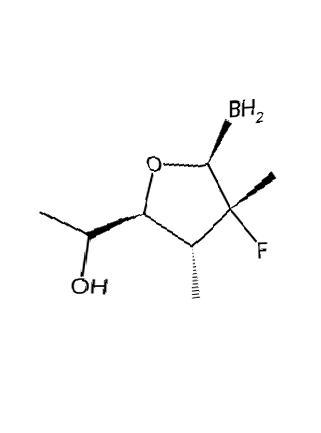 B[C@@H]1O[C@H](C(C)O)[C@@H](C)[C@@]1(C)F